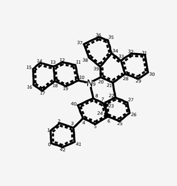 c1ccc(-c2cccc(N(c3ccc4ccccc4c3)c3c(-c4ccccc4)c4ccccc4c4ccccc34)c2)cc1